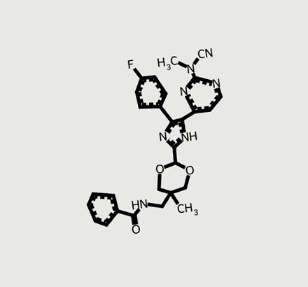 CN(C#N)c1nccc(-c2[nH]c(C3OCC(C)(CNC(=O)c4ccccc4)CO3)nc2-c2ccc(F)cc2)n1